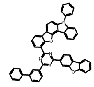 c1ccc(-c2cccc(-c3nc(-c4ccc5c(c4)oc4ccccc45)nc(-c4cccc5c4oc4c5ccc5c4c4ccccc4n5-c4ccccc4)n3)c2)cc1